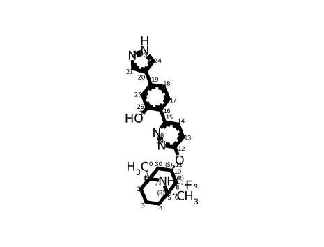 C[C@@]12CCC[C@@](C)(N1)[C@@H](F)[C@@H](Oc1ccc(-c3ccc(-c4cn[nH]c4)cc3O)nn1)C2